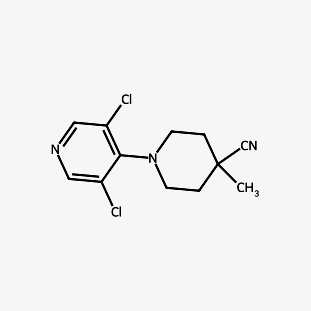 CC1(C#N)CCN(c2c(Cl)cncc2Cl)CC1